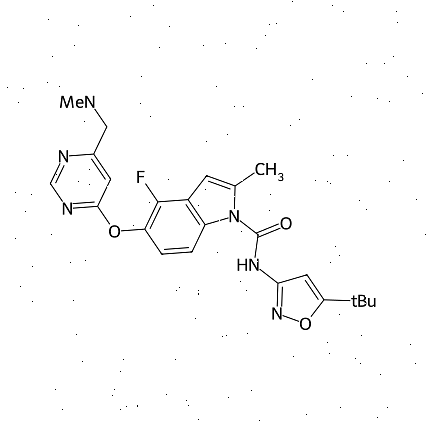 CNCc1cc(Oc2ccc3c(cc(C)n3C(=O)Nc3cc(C(C)(C)C)on3)c2F)ncn1